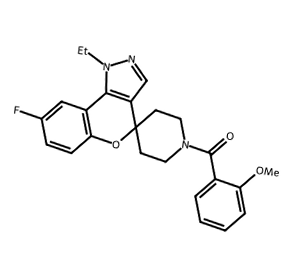 CCn1ncc2c1-c1cc(F)ccc1OC21CCN(C(=O)c2ccccc2OC)CC1